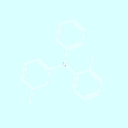 Cc1ccccc1N(C1=CC=CC(C)C1)c1ccccc1